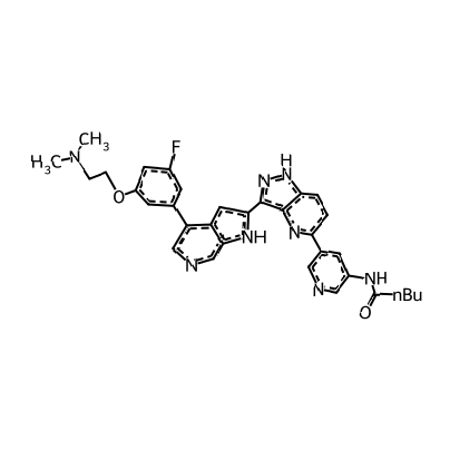 CCCCC(=O)Nc1cncc(-c2ccc3[nH]nc(-c4cc5c(-c6cc(F)cc(OCCN(C)C)c6)cncc5[nH]4)c3n2)c1